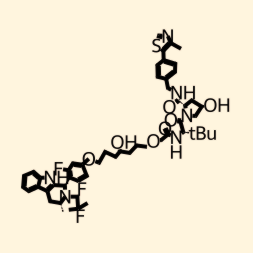 Cc1ncsc1-c1ccc(CNC(=O)[C@@H]2C[C@@H](O)CN2C(=O)[C@@H](NC(=O)COCCCC(O)CCCOc2cc(F)c([C@@H]3c4[nH]c5ccccc5c4C[C@@H](C)N3CC(C)(C)F)c(F)c2)C(C)(C)C)cc1